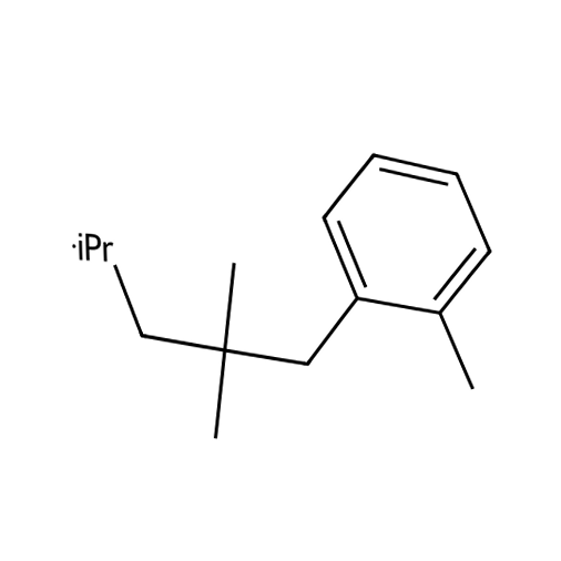 C[C](C)CC(C)(C)Cc1ccccc1C